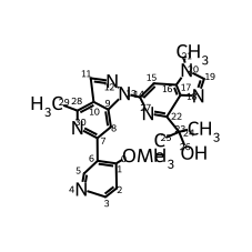 COc1ccncc1-c1cc2c(cnn2-c2cc3c(ncn3C)c(C(C)(C)O)n2)c(C)n1